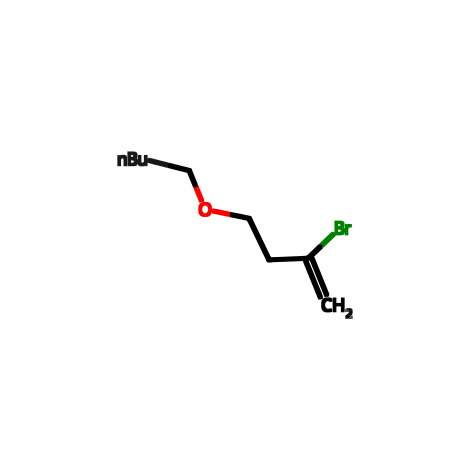 C=C(Br)CCOCCCCC